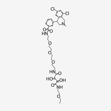 CCOCCNC(=O)[C@H](O)[C@H](O)C(=O)NCCOCCOCCOCCNS(=O)(=O)c1cccc(C2CN(C)Cc3c(Cl)cc(Cl)cc32)c1